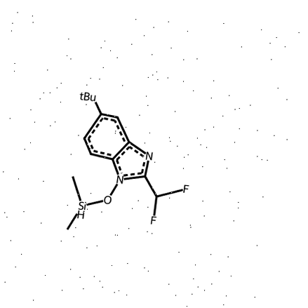 C[SiH](C)On1c(C(F)F)nc2cc(C(C)(C)C)ccc21